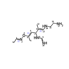 C/C=N/O/C(C)=C/C(NC=N)/C(C)=C/NCCN